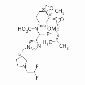 CO[C@@H]1[C@H](N(C(=O)O)C(c2cn(C[C@H]3CCN(CC(F)F)C3)cn2)C(C)C)CC[C@]2(CO2)[C@H]1[C@@]1(C)O[C@@H]1CC=C(C)C